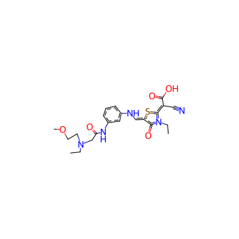 CCN(CCOC)CC(=O)Nc1cccc(NC=c2sc(=C(C#N)C(=O)O)n(CC)c2=O)c1